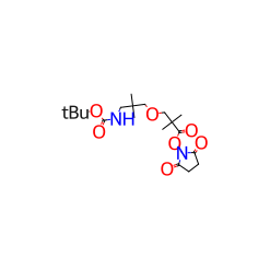 CC(C)(CNC(=O)OC(C)(C)C)COCC(C)(C)C(=O)ON1C(=O)CCC1=O